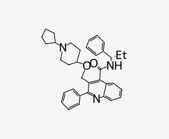 CC[C@H](NC(=O)c1c(COC2CCN(C3CCCC3)CC2)c(-c2ccccc2)nc2ccccc12)c1ccccc1